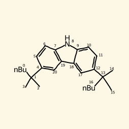 CCCCC(C)(C)c1ccc2[nH]c3ccc(C(C)(C)CCCC)cc3c2c1